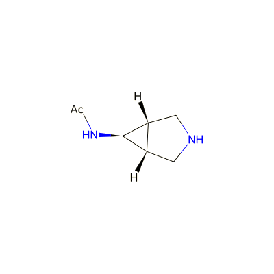 CC(=O)N[C@H]1[C@@H]2CNC[C@@H]21